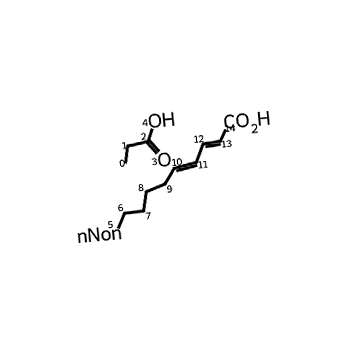 CCC(=O)O.CCCCCCCCCCCCC/C=C/C=C/C(=O)O